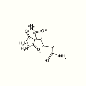 NC(=O)CCCC(C(N)=O)(C(N)=O)C(N)=O